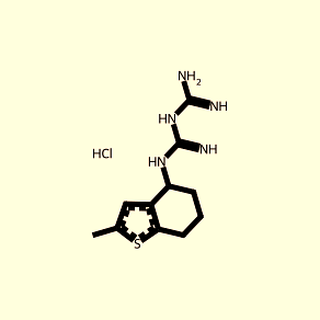 Cc1cc2c(s1)CCCC2NC(=N)NC(=N)N.Cl